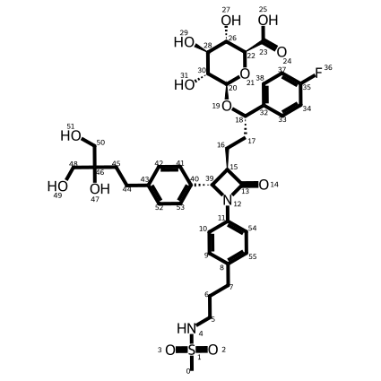 CS(=O)(=O)NCCCc1ccc(N2C(=O)[C@H](CC[C@H](O[C@@H]3O[C@H](C(=O)O)[C@@H](O)[C@H](O)[C@H]3O)c3ccc(F)cc3)[C@H]2c2ccc(CCC(O)(CO)CO)cc2)cc1